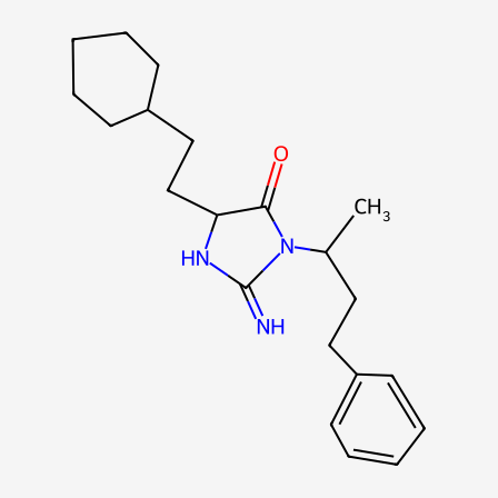 CC(CCc1ccccc1)N1C(=N)NC(CCC2CCCCC2)C1=O